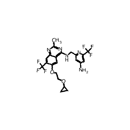 Cc1nc(NCc2cc(N)cc(C(F)(F)F)n2)c2cc(OCCOC3CC3)c(C(F)(F)F)cc2n1